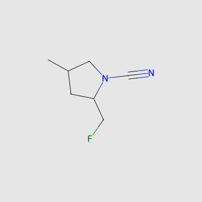 CC1CC(CF)N(C#N)C1